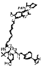 COc1cc2c(N[C@@H](C)c3cccs3)nc(C)nc2cc1OCCCCCCCCC(=O)N[C@H](C(=O)N1C[C@H](O)C[C@H]1C(=O)NCc1ccc(-c2scnc2C)cc1)C(C)(C)C